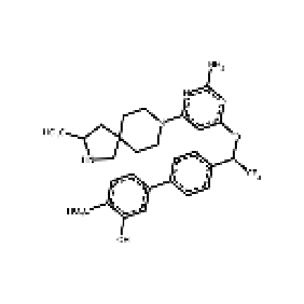 Nc1nc(O[C@H](c2ccc(-c3ccc(C(=O)O)c(O)c3)cc2)C(F)(F)F)cc(N2CCC3(CC2)CNC(C(=O)O)C3)n1